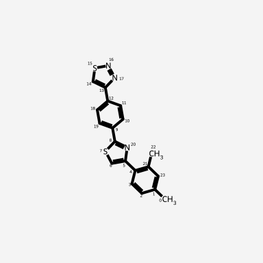 Cc1ccc(-c2csc(-c3ccc(-c4csnn4)cc3)n2)c(C)c1